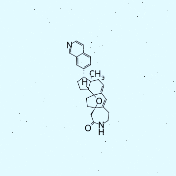 C[C@]12CC=C3C=C4CCNC(=O)C[C@]45CCC3(O5)[C@@H]1CC[C@@H]2c1ccc2ccncc2c1